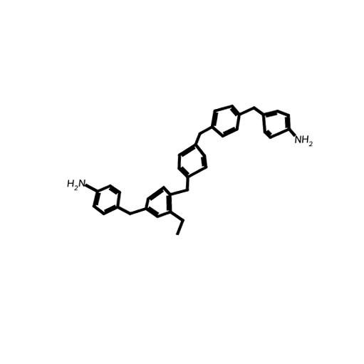 CCc1cc(Cc2ccc(N)cc2)ccc1Cc1ccc(Cc2ccc(Cc3ccc(N)cc3)cc2)cc1